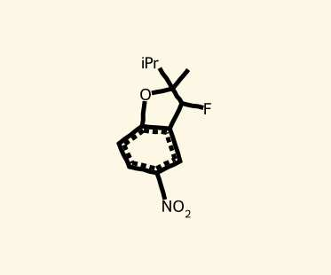 CC(C)C1(C)Oc2ccc([N+](=O)[O-])cc2C1F